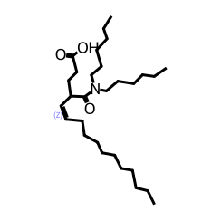 CCCCCCCCCC/C=C\C(CCC(=O)O)C(=O)N(CCCCCC)CCCCCC